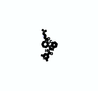 Cc1cc(C(=O)Nc2nc3cccc(C(F)(F)F)c3n2[C@@H]2CCCCN(C(=O)/C=C/CN(C)C)C2)cc(C)n1